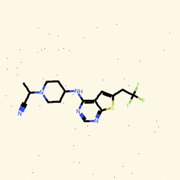 CC(C#N)N1CCC(Nc2ncnc3sc(CC(F)(F)F)cc23)CC1